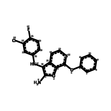 Nc1oc2c(Oc3ccccc3)nccc2c1Nc1ccc(F)c(Cl)c1